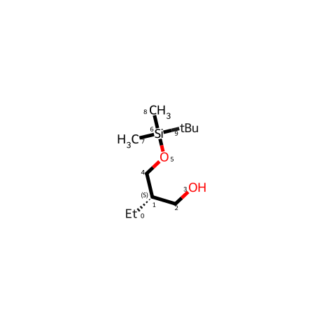 CC[C@@H](CO)CO[Si](C)(C)C(C)(C)C